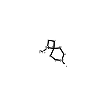 CC(C)N1CCC12CCN(I)CC2